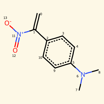 C=C(c1ccc(N(C)C)cc1)[N+](=O)[O-]